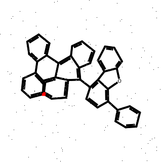 c1ccc(-c2ccccc2-c2c3ccccc3c(-c3ccc(-c4ccccc4)c4oc5ccccc5c34)c3ccccc23)cc1